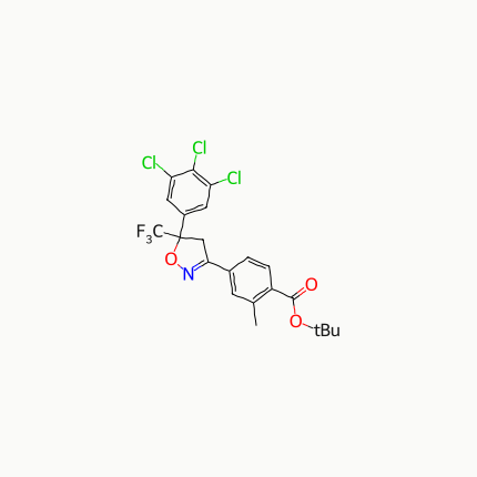 Cc1cc(C2=NOC(c3cc(Cl)c(Cl)c(Cl)c3)(C(F)(F)F)C2)ccc1C(=O)OC(C)(C)C